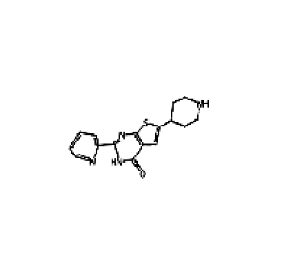 O=c1[nH]c(-c2ccccn2)nc2sc(C3CCNCC3)cc12